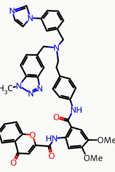 COc1cc(NC(=O)c2cc(=O)c3ccccc3o2)c(C(=O)Nc2ccc(CCN(Cc3cccc(-n4ccnc4)c3)Cc3ccc4c(c3)nnn4C)cc2)cc1OC